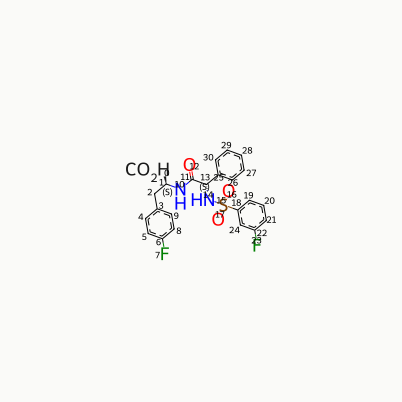 O=C(O)[C@H](Cc1ccc(F)cc1)NC(=O)[C@@H](NS(=O)(=O)c1cccc(F)c1)c1ccccc1